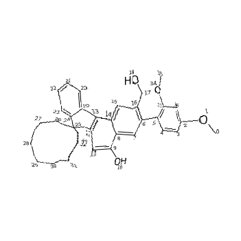 COc1ccc(-c2cc3c(O)cc4c(c3cc2CO)-c2ccccc2C42CCCCCCC2)c(OC)c1